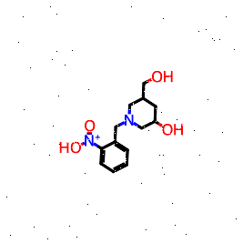 O=[N+](O)c1ccccc1CN1CC(O)CC(CO)C1